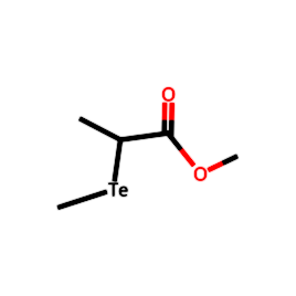 COC(=O)C(C)[Te]C